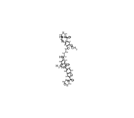 COc1cc2c(cc1OCCCCNc1cc(C(=O)Nc3ccc4oc(C(=O)N5CCOCC5)cc4c3)n(C)c1)N=C[C@@H]1CCCN1C2=O